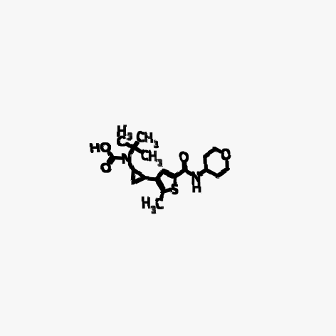 Cc1sc(C(=O)NC2CCOCC2)cc1C1CC1N(C(=O)O)C(C)(C)C